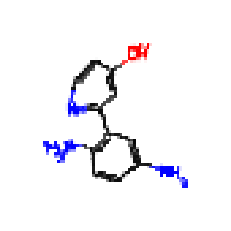 Nc1ccc(N)c(-c2cc(O)ccn2)c1